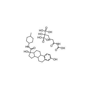 CC1CCC(NC(=O)[C@@]2(O)CCC3C4CCc5cc(O)ccc5C4CC[C@@]32C)CC1.O=C(O)NC(=O)CCCC(O)(P(=O)(O)O)P(=O)(O)O